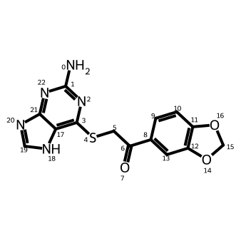 Nc1nc(SCC(=O)c2ccc3c(c2)OCO3)c2[nH]cnc2n1